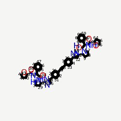 O=C(N[C@@H](C(=O)N1CCC[C@H]1c1cc(-c2ccc(C#Cc3ccc(-c4cnc([C@@H]5CCCN5C(=O)[C@H](NC(=O)[C@@H]5CCCO5)c5ccccc5)[nH]4)cc3)cc2)n[nH]1)c1ccccc1)[C@@H]1CCCO1